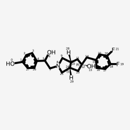 Oc1ccc(C(O)CN2C[C@@H]3C[C@@](O)(Cc4ccc(F)c(F)c4)C[C@@H]3C2)cc1